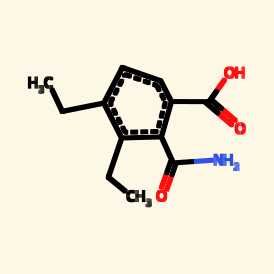 CCc1ccc(C(=O)O)c(C(N)=O)c1CC